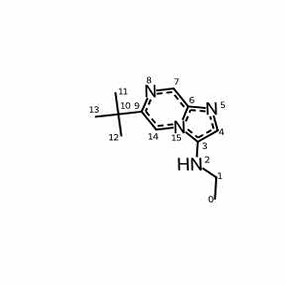 CCNc1cnc2cnc(C(C)(C)C)cn12